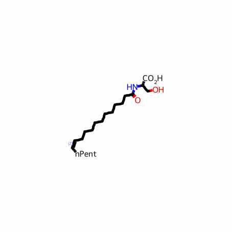 CCCCC/C=C\CCCCCCCCCCC(=O)NC(CO)C(=O)O